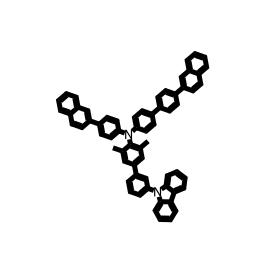 Cc1cc(-c2cccc(-n3c4ccccc4c4ccccc43)c2)cc(C)c1N(c1ccc(-c2ccc(-c3ccc4ccccc4c3)cc2)cc1)c1ccc(-c2ccc3ccccc3c2)cc1